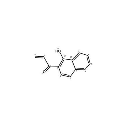 C=CC(=O)c1ccc2ccccc2c1O